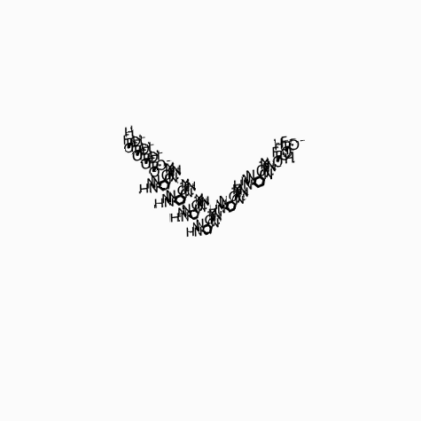 CN(C)[P+](Oc1cccc2[nH]nnc12)(N(C)C)N(C)C.CN(C)[P+](Oc1cccc2[nH]nnc12)(N(C)C)N(C)C.CN(C)[P+](Oc1cccc2[nH]nnc12)(N(C)C)N(C)C.CN(C)[P+](Oc1cccc2[nH]nnc12)(N(C)C)N(C)C.CN(C)[P+](Oc1cccc2[nH]nnc12)(N(C)C)N(C)C.CN(C)[P+](Oc1cccc2[nH]nnc12)(N(C)C)N(C)C.O=[PH]([O-])F.O=[PH]([O-])F.O=[PH]([O-])F.O=[PH]([O-])F.O=[PH]([O-])F.O=[PH]([O-])F